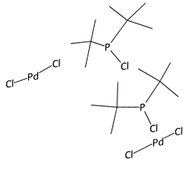 CC(C)(C)P(Cl)C(C)(C)C.CC(C)(C)P(Cl)C(C)(C)C.[Cl][Pd][Cl].[Cl][Pd][Cl]